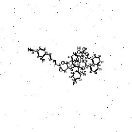 C[C@@H](SC1COC(C=CC=Cc2ccc(C#N)cc2F)OC1)[C@@](Cn1cncn1)(OC(=O)c1cccc2cccc(COP(=O)(O)O)c12)c1ccc(F)cc1F